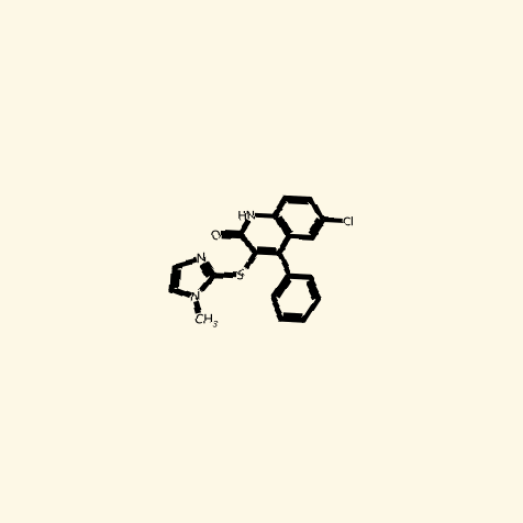 Cn1ccnc1Sc1c(-c2ccccc2)c2cc(Cl)ccc2[nH]c1=O